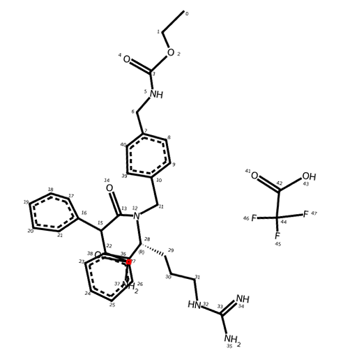 CCOC(=O)NCc1ccc(CN(C(=O)C(c2ccccc2)c2ccccc2)[C@H](CCCNC(=N)N)C(N)=O)cc1.O=C(O)C(F)(F)F